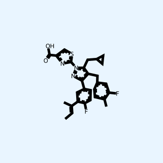 C/C=C(\C)c1cc(-c2nn(-c3nc(C(=O)O)cs3)c(CC3CC3)c2Cc2ccc(C)c(F)c2)ccc1F